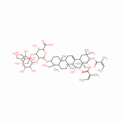 C/C=C(/C)C(=O)O[C@H]1[C@H](OC(=O)/C(C)=C\C)[C@@]2(CO)C(CC1(C)C)C1=CCC3[C@@]4(C)CC[C@H](O[C@@H]5OC(C(=O)O)[C@@H](O)C(O[C@]6(O)CO[C@@H](CO)C6O)C5O[C@@H]5OC(CO)[C@@H](O)C(O)C5O)[C@](C)(CO)C4CC[C@@]3(C)[C@]1(C)[C@@H](O)[C@H]2O